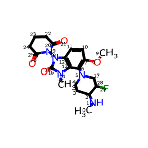 CNC1CCN(c2c(OC)ccc3c2n(C)c(=O)n3N2C(=O)CCCC2=O)CC1F